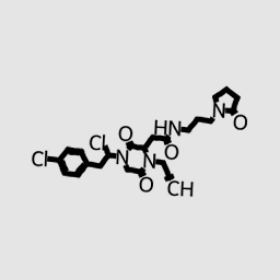 C#CCN1C(=O)CN(C(Cl)Cc2ccc(Cl)cc2)C(=O)C1CC(=O)NCCCN1CCCC1=O